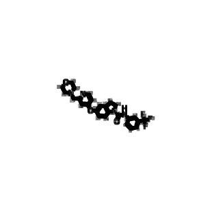 O=C(Nc1cccc(C(F)(F)F)c1)N1CCc2cc(Oc3ccnc(CN4CCOCC4)c3)ccc21